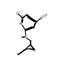 CC1CC1CN(C)c1cc(C(=O)O)cc(Cl)n1